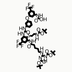 CC(C)(C)OC(=O)N=C(NCCCCC(=O)Nc1cc(C(F)(F)F)cc(NC(=O)Nc2cccc(Oc3cc(NC(=O)O)cc(C(F)(F)F)c3)c2)c1SCCNC(=O)OC(C)(C)C)NC(=O)OC(C)(C)C